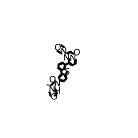 C[C@@H](C(=O)Nc1ccc2sc3c(-c4cccn5c(=O)cc(N6CCOCC6)nc45)cccc3c2c1)N1CCOCC1